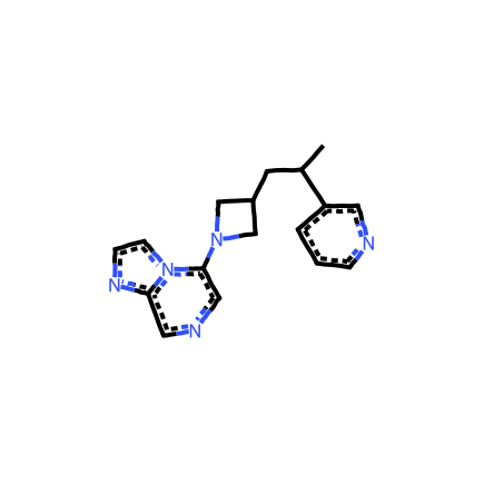 CC(CC1CN(c2cncc3nccn23)C1)c1cccnc1